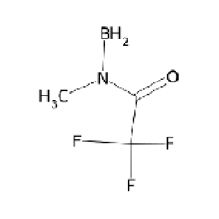 BN(C)C(=O)C(F)(F)F